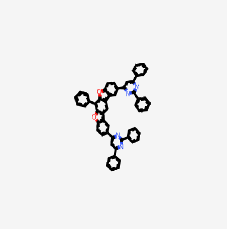 c1ccc(-c2cc(-c3ccc4oc5c(-c6ccccc6)c6oc7ccc(-c8cc(-c9ccccc9)nc(-c9ccccc9)n8)cc7c6cc5c4c3)nc(-c3ccccc3)n2)cc1